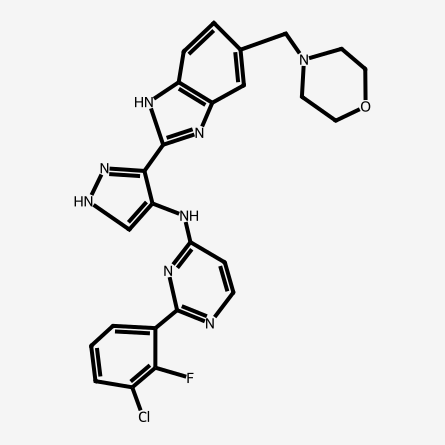 Fc1c(Cl)cccc1-c1nccc(Nc2c[nH]nc2-c2nc3cc(CN4CCOCC4)ccc3[nH]2)n1